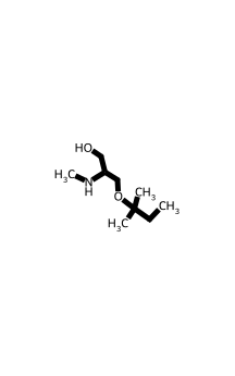 CCC(C)(C)OCC(CO)NC